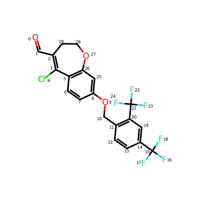 O=CC1=C(Cl)c2ccc(OCc3ccc(C(F)(F)F)cc3C(F)(F)F)cc2OCC1